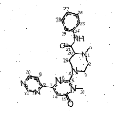 CN1CCN(c2nc(-c3ccncn3)cc(=O)n2C)CC1C(=O)Nc1ccccc1